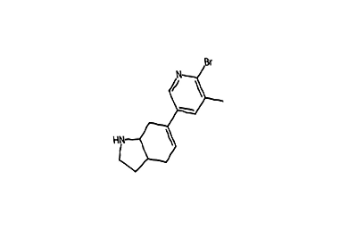 Cc1cc(C2=CCC3CCNC3C2)cnc1Br